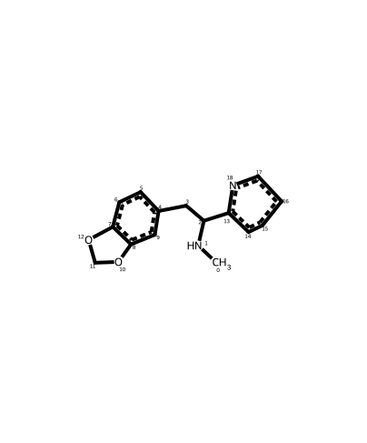 CNC(Cc1ccc2c(c1)OCO2)c1ccccn1